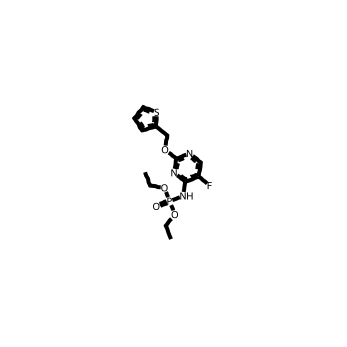 CCOP(=O)(Nc1nc(OCc2cccs2)ncc1F)OCC